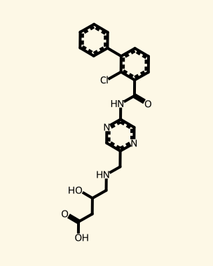 O=C(O)CC(O)CNCc1cnc(NC(=O)c2cccc(-c3ccccc3)c2Cl)cn1